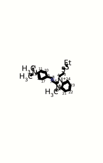 CCSSCC[n+]1c(/C=C/c2ccc(N(C)C)cc2)n(C)c2ccccc21